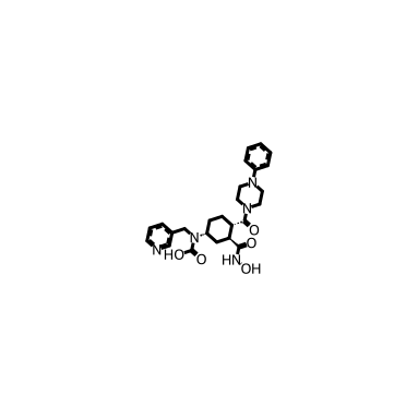 O=C(NO)[C@H]1C[C@H](N(Cc2cccnc2)C(=O)O)CC[C@@H]1C(=O)N1CCN(c2ccccc2)CC1